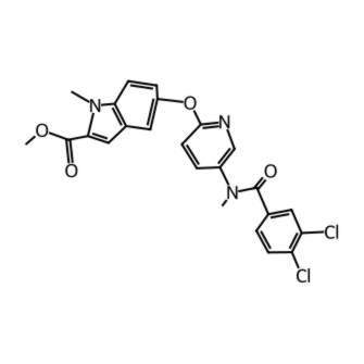 COC(=O)c1cc2cc(Oc3ccc(N(C)C(=O)c4ccc(Cl)c(Cl)c4)cn3)ccc2n1C